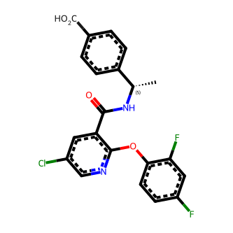 C[C@H](NC(=O)c1cc(Cl)cnc1Oc1ccc(F)cc1F)c1ccc(C(=O)O)cc1